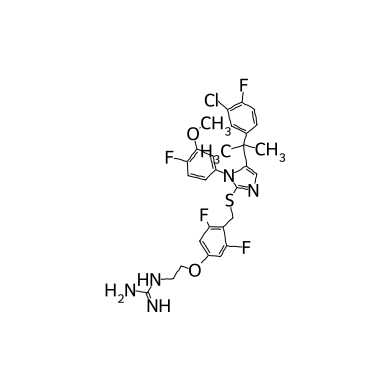 COc1cc(-n2c(C(C)(C)c3ccc(F)c(Cl)c3)cnc2SCc2c(F)cc(OCCNC(=N)N)cc2F)ccc1F